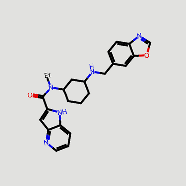 CCN(C(=O)c1cc2ncccc2[nH]1)C1CCCC(NCc2ccc3ncoc3c2)C1